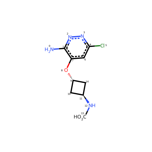 Nc1nnc(Cl)cc1O[C@H]1C[C@H](NC(=O)O)C1